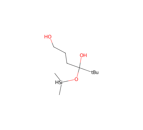 C[SiH](C)OC(O)(CCCO)C(C)(C)C